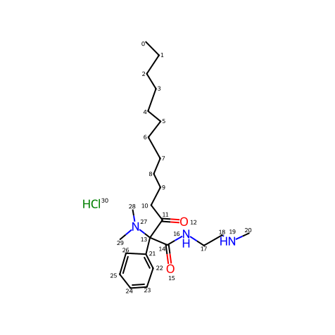 CCCCCCCCCCCC(=O)C(C(=O)NCCNC)(c1ccccc1)N(C)C.Cl